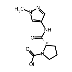 Cn1cc(NC(=O)[C@@H]2CCCN2C(=O)O)cn1